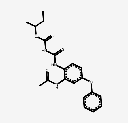 CCC(C)OC(=O)NC(=S)Nc1ccc(Oc2ccccc2)cc1NC(C)=O